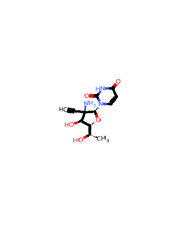 C#C[C@@]1(N)C(O)[C@@H]([C@H](C)O)O[C@H]1n1ccc(=O)[nH]c1=O